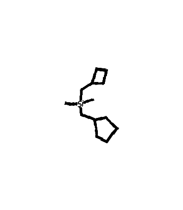 C[Si](C)(CC1CCCC1)CC1CCC1